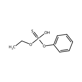 CCOP(O)(=S)Oc1ccccc1